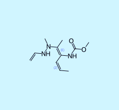 C=CNN(C)/C(C)=C(\C=C/C)NC(=O)OC